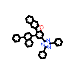 c1ccc(-c2nc(-c3ccccc3)nc(-c3cc(-c4ccc(-c5ccccc5)c5ccccc45)c4c(c3)oc3cc5ccccc5cc34)n2)cc1